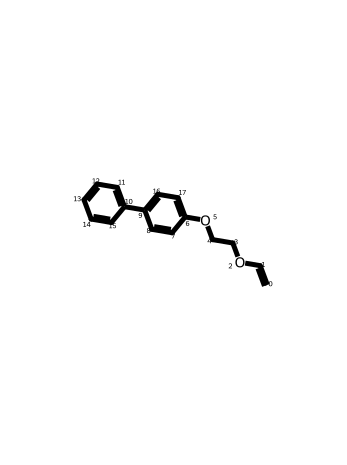 C=COCCOc1ccc(-c2ccccc2)cc1